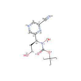 CC(C)(C)OC(=O)N(O)[C@@H](CCO)c1cncc(C#N)n1